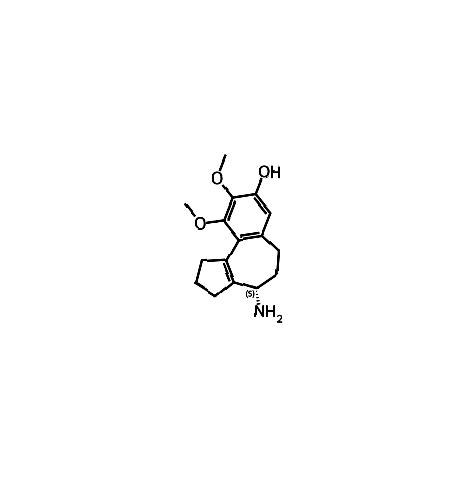 COc1c(O)cc2c(c1OC)C1=C(CCC1)[C@@H](N)CC2